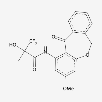 COc1cc(NC(=O)C(C)(O)C(F)(F)F)c2c(c1)OCc1ccccc1C2=O